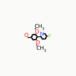 CCOc1cc(C=O)cc(OCC)c1-c1ccc(F)cn1